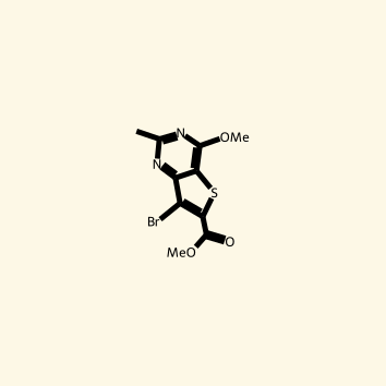 COC(=O)c1sc2c(OC)nc(C)nc2c1Br